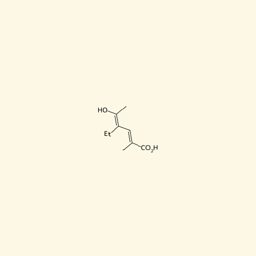 CCC(/C=C(\C)C(=O)O)=C(/C)O